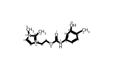 Cc1ccc(NC(=O)OCC[n+]2ccn(C)c2C)cc1O